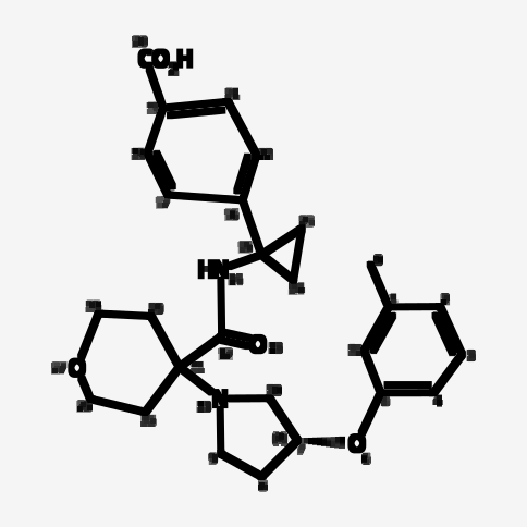 Cc1cccc(O[C@@H]2CCN(C3(C(=O)NC4(c5ccc(C(=O)O)cc5)CC4)CCOCC3)C2)c1